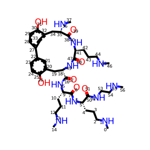 CNCCC[C@H](NC(=O)[C@H](CCCNC)NC(=O)[C@@H]1Cc2cc(ccc2O)-c2ccc(O)c(c2)C[C@H](NC)C(=O)N[C@@H](CCCNC)C(=O)N1)C(=O)NCCNC